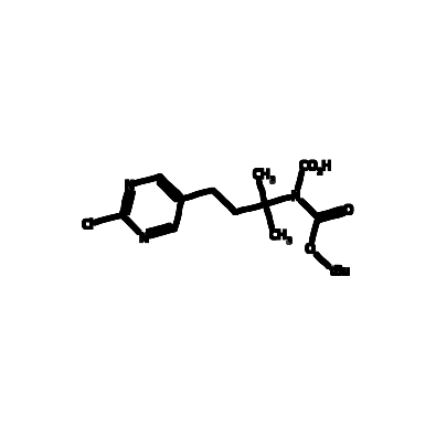 CC(C)(C)OC(=O)N(C(=O)O)C(C)(C)CCc1cnc(Cl)nc1